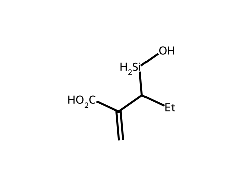 C=C(C(=O)O)C(CC)[SiH2]O